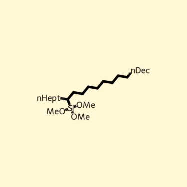 CCCCCCCCCCCCCCCCCCC(CCCCCCC)[Si](OC)(OC)OC